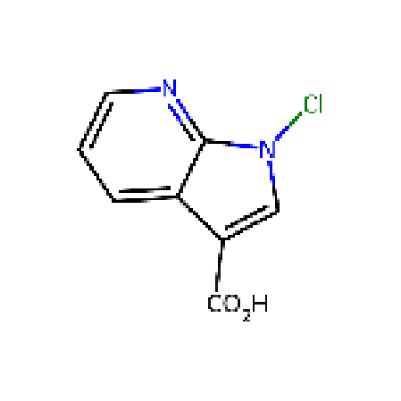 O=C(O)c1cn(Cl)c2ncccc12